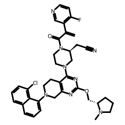 C=C(C(=O)N1CCN(c2nc(OC[C@@H]3CCCN3C)nc3c2CCN(c2cccc4cccc(Cl)c24)C3)C[C@@H]1CC#N)c1cnccc1F